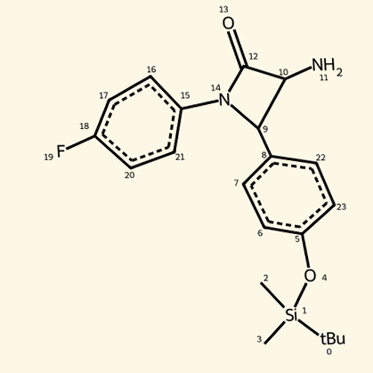 CC(C)(C)[Si](C)(C)Oc1ccc(C2C(N)C(=O)N2c2ccc(F)cc2)cc1